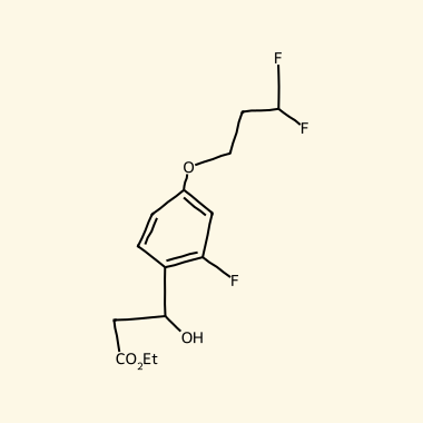 CCOC(=O)CC(O)c1ccc(OCCC(F)F)cc1F